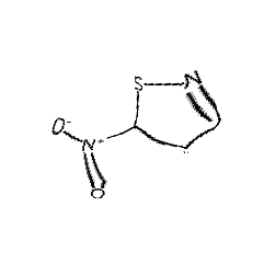 O=[N+]([O-])C1[C]C=NS1